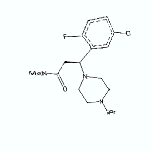 CNC(=O)C[C@@H](c1cc(Cl)ccc1F)N1CCN(C(C)C)CC1